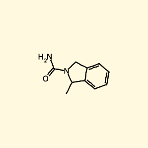 CC1c2ccccc2CN1C(N)=O